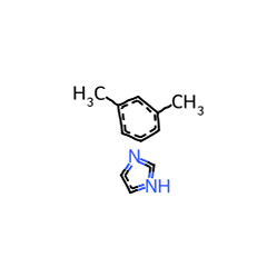 Cc1cccc(C)c1.c1c[nH]cn1